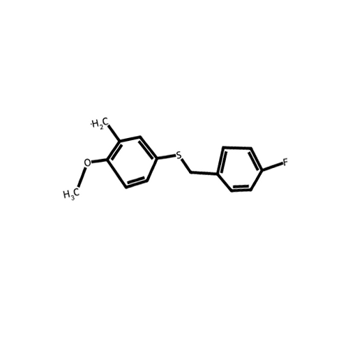 [CH2]c1cc(SCc2ccc(F)cc2)ccc1OC